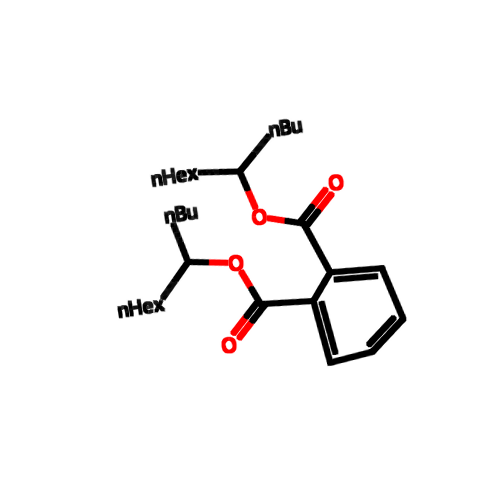 CCCCCCC(CCCC)OC(=O)c1ccccc1C(=O)OC(CCCC)CCCCCC